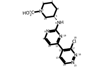 O=C(O)N1CCC[C@H](Nc2nccc(-c3ccnnc3Cl)n2)C1